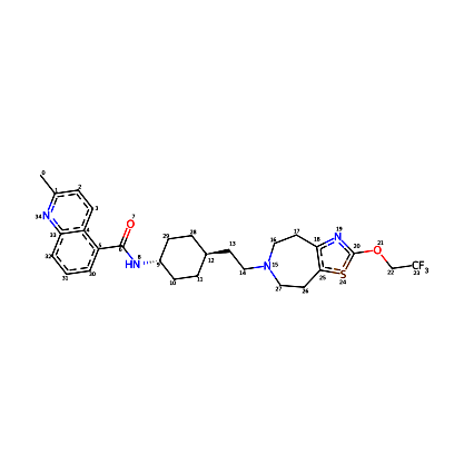 Cc1ccc2c(C(=O)N[C@H]3CC[C@H](CCN4CCc5nc(OCC(F)(F)F)sc5CC4)CC3)cccc2n1